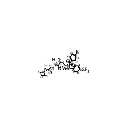 C=C(CCN(Cc1ccc(C(F)(F)F)cc1)S(=O)(=O)c1ccc(F)cc1)/C(=N/CCC(=O)NC1CCC1)NC